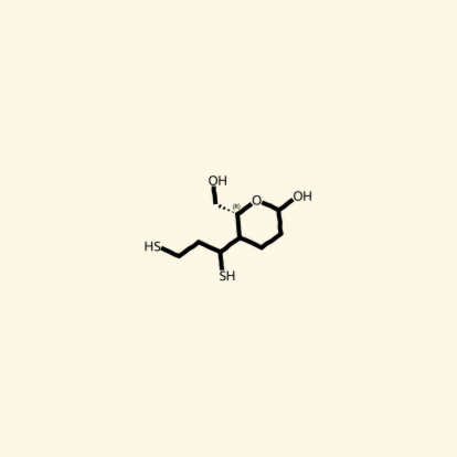 OC[C@@H]1OC(O)CCC1C(S)CCS